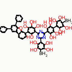 Bc1c(O)c(O)c(-c2nc(-c3c(O)c(O)c(-c4c(O)c(O)c(B)c(O)c4O)c(O)c3O)nc(-c3c(O)c(O)c(O)c(-c4cccc5c4oc4c(-c6ccccc6)cc(-c6ccccc6)cc45)c3O)n2)c(O)c1O